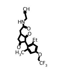 C#CCNC(=O)CC1CC(=O)C(c2c(C)cc(OCC(F)(F)F)cc2CC)C1=O